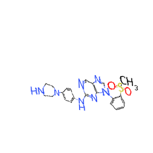 CS(=O)(=O)c1ccccc1-n1cnc2cnc(Nc3ccc(N4CCNCC4)cc3)nc21